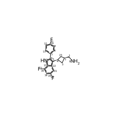 NC[C@H]1C[C@@H](c2c(-c3ccc(F)cc3)[nH]c3c(F)cc(F)cc32)C1